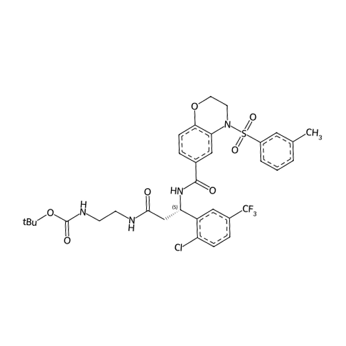 Cc1cccc(S(=O)(=O)N2CCOc3ccc(C(=O)N[C@@H](CC(=O)NCCNC(=O)OC(C)(C)C)c4cc(C(F)(F)F)ccc4Cl)cc32)c1